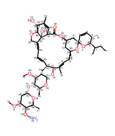 CCC(C)[C@H]1O[C@]2(C=C[C@@H]1C)C[C@@H]1C[C@@H](C/C=C(\C)[C@@H](O[C@H]3C[C@H](OC)[C@@H](O[C@H]4C[C@H](OC)[C@H](ON)[C@H](C)O4)[C@H](C)O3)[C@@H](C)/C=C/C=C3\CO[C@@H]4[C@H](O)C(C)=C[C@@H](C(=O)O1)[C@]34O)O2